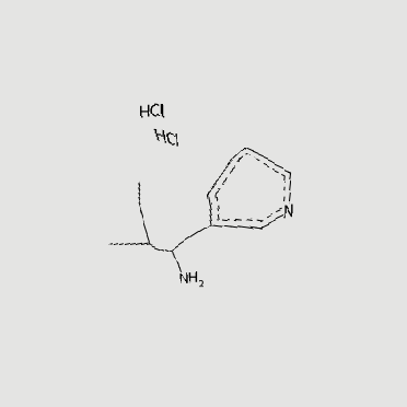 CC(C)C(N)c1cccnc1.Cl.Cl